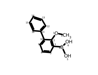 COc1c(B(O)O)cccc1-c1ccccc1